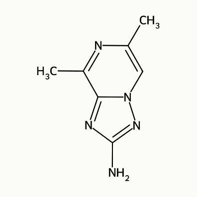 Cc1cn2nc(N)nc2c(C)n1